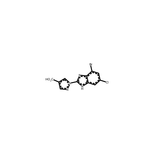 O=C(O)c1cnn(-c2nc3c(Br)cc(Cl)cc3[nH]2)c1